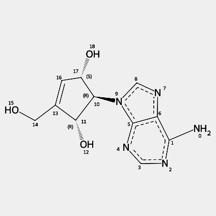 Nc1ncnc2c1ncn2[C@H]1[C@H](O)C(CO)=C[C@@H]1O